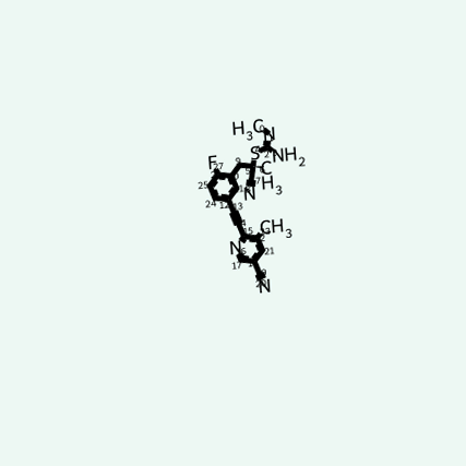 C/N=C(/N)S[C@@](C)(C#N)Cc1cc(C#Cc2ncc(C#N)cc2C)ccc1F